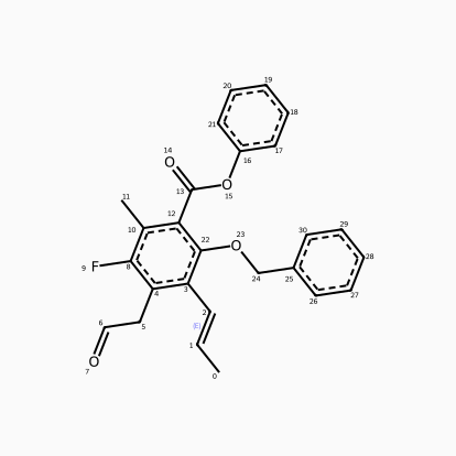 C/C=C/c1c(CC=O)c(F)c(C)c(C(=O)Oc2ccccc2)c1OCc1ccccc1